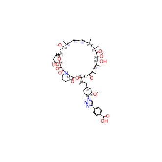 CO[C@H]1C[C@@H]2CC[C@@H](C)[C@@](O)(O2)C(=O)C(=O)N2CCCC[C@H]2C(=O)O[C@H]([C@H](C)C[C@@H]2CC[C@H](n3cc(-c4ccc(C(=O)O)cc4)nn3)[C@H](OC)C2)CC(=O)[C@H](C)/C=C(\C)[C@@H](O)[C@@H](OC)C(=O)[C@H](C)C[C@H](C)/C=C/C=C/C=C/1C